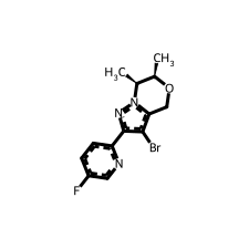 C[C@H]1OCc2c(Br)c(-c3ccc(F)cn3)nn2[C@H]1C